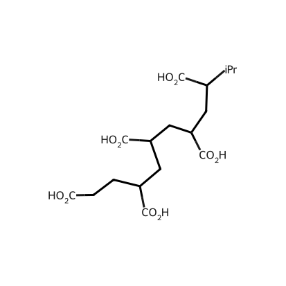 CC(C)C(CC(CC(CC(CCC(=O)O)C(=O)O)C(=O)O)C(=O)O)C(=O)O